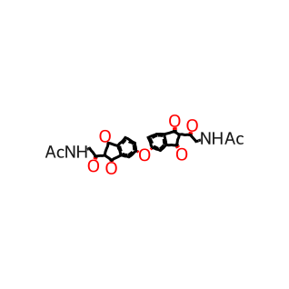 CC(=O)NCC(=O)C1C(=O)c2ccc(Oc3ccc4c(c3)C(=O)C(C(=O)CNC(C)=O)C4=O)cc2C1=O